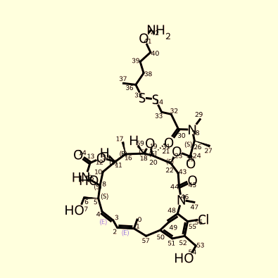 C/C1=C\C=C\[C@@H](CO)[C@@]2(O)C[C@H](OC(=O)N2)[C@@H](C)[C@@H]2O[C@@]2(C)[C@@H](OC(=O)[C@H](C)N(C)C(=O)CCSSC(C)CCCON)CC(=O)N(C)c2cc(cc(CO)c2Cl)C1